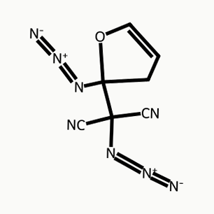 N#CC(C#N)(N=[N+]=[N-])C1(N=[N+]=[N-])CC=CO1